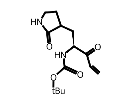 C=CC(=O)[C@H](CC1CCNC1=O)NC(=O)OC(C)(C)C